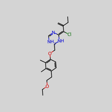 C=C(CC)/C(Cl)=C(\N=C/N)NCCOc1ccc(CCOCC)c(C)c1C